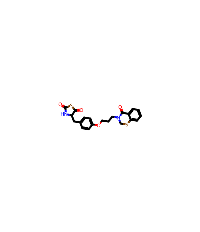 O=C1NC(Cc2ccc(OCCCN3CSc4ccccc4C3=O)cc2)C(=O)S1